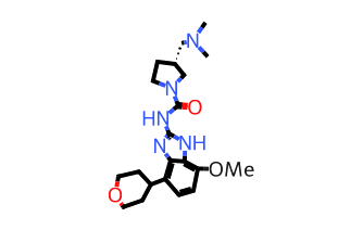 COc1ccc(C2CCOCC2)c2nc(NC(=O)N3CC[C@H](CN(C)C)C3)[nH]c12